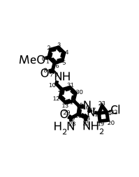 COc1ccccc1C(=O)NCc1ccc(-c2nn(C34CC[C@@]3(Cl)C4)c(N)c2C(N)=O)cc1